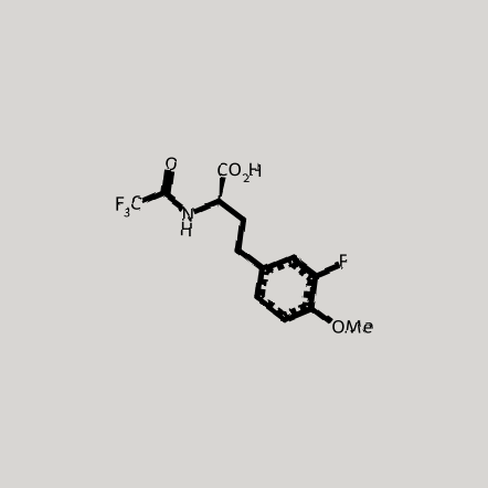 COc1ccc(CC[C@@H](NC(=O)C(F)(F)F)C(=O)O)cc1F